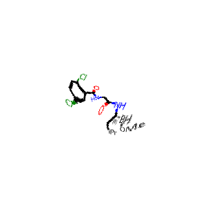 COB[C@H](CC(C)C)NC(=O)CNC(=O)c1cc(Cl)ccc1Cl